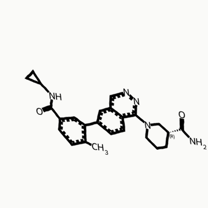 Cc1ccc(C(=O)NC2CC2)cc1-c1ccc2c(N3CCC[C@@H](C(N)=O)C3)nncc2c1